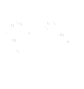 C[C@@H](NC(=O)c1cn(CCC(F)Cn2cc(C(=O)NCc3cc(C(F)(F)F)ccn3)nn2)nn1)c1ccccc1